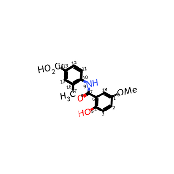 COc1ccc(O)c(C(=O)Nc2ccc(C(=O)O)cc2C)c1